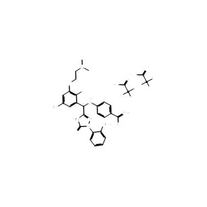 CCc1cc(OCCN(C)C)c(F)c(C(Nc2ccc(C(=N)N)cc2)c2nn(-c3ccccc3NC(C)=O)c(=O)[nH]2)c1.O=C(O)C(F)(F)F.O=C(O)C(F)(F)F